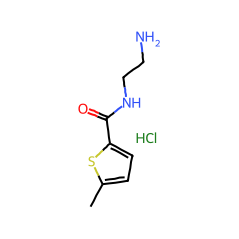 Cc1ccc(C(=O)NCCN)s1.Cl